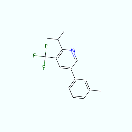 Cc1cccc(-c2cnc(C(C)C)c(C(F)(F)F)c2)c1